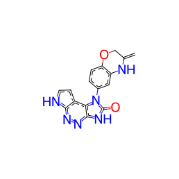 C=C1COc2ccc(-n3c(=O)[nH]c4nnc5[nH]ccc5c43)cc2N1